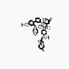 Cc1ccc2nc(CN[C@H]3CC[C@@H](n4c(=O)c5cc(F)cnc5n(-c5cccc(-c6ccc(O)cc6CN6CCOCC6)c5)c4=O)CC3)cn2c1